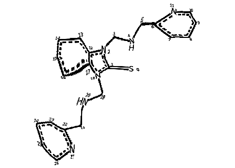 S=c1n(CNCc2ccccn2)c2ccccc2n1CNCc1ccccn1